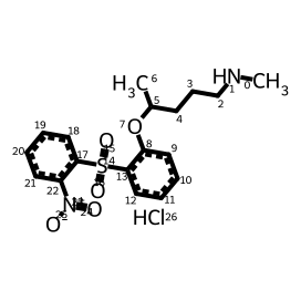 CNCCCC(C)Oc1ccccc1S(=O)(=O)c1ccccc1[N+](=O)[O-].Cl